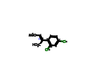 CO/C=C(\C(=O)O)c1ccc(Cl)cc1Cl